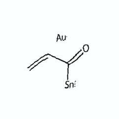 C=C[C](=O)[Sn].[Au]